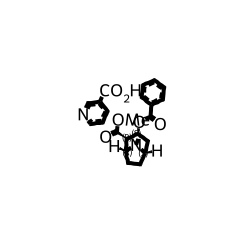 COC(=O)[C@H]1[C@@H](OC(=O)c2ccccc2)C[C@@H]2CC[C@H]1N2C.O=C(O)c1cccnc1